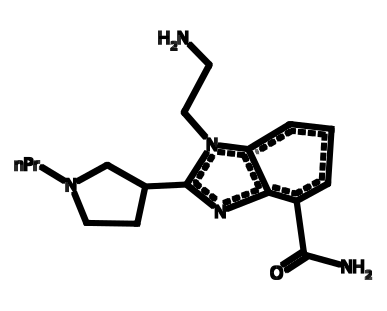 CCCN1CCC(c2nc3c(C(N)=O)cccc3n2CCN)C1